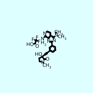 CN1CC[C@@](O)(C#Cc2cccc(-c3nc(N(C)C)c4ccnc(N)c4n3)c2)C1=O.O=C(O)C(F)(F)F